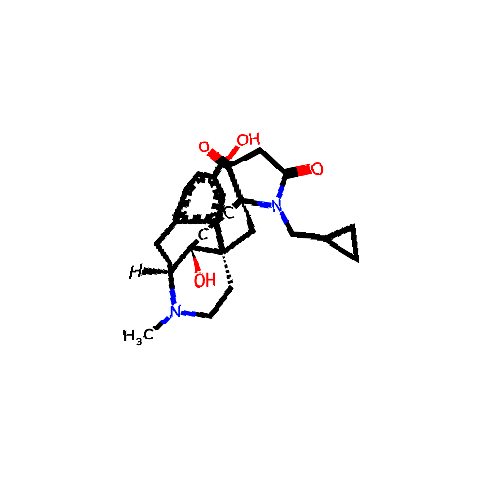 CN1CC[C@]23C[C@@]4(CC[C@@]2(O)[C@H]1Cc1ccc(O)cc13)C(=O)CC(=O)N4CC1CC1